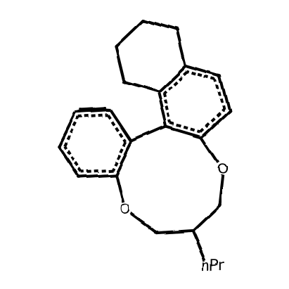 CCCC1COc2ccc3c(c2-c2c(ccc4c2CCCC4)OC1)CCCC3